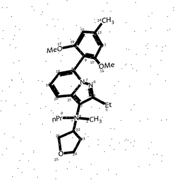 CCC[N+](C)(c1c(CC)nn2c(-c3c(OC)cc(C)cc3OC)cccc12)C1CCOC1